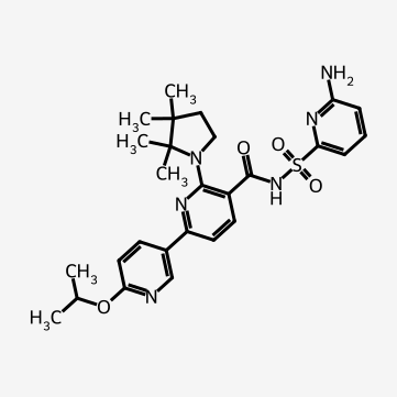 CC(C)Oc1ccc(-c2ccc(C(=O)NS(=O)(=O)c3cccc(N)n3)c(N3CCC(C)(C)C3(C)C)n2)cn1